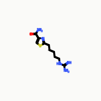 N=C(N)NCCC[CH]Cc1nc(C(N)=O)cs1